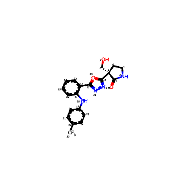 O=C1NCC[C@]1(CO)c1nnc(-c2ccccc2Nc2ccc(C(F)(F)F)cc2)o1